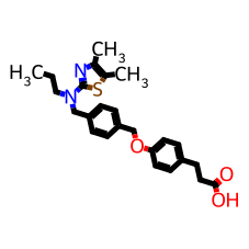 CCCN(Cc1ccc(COc2ccc(CCC(=O)O)cc2)cc1)c1nc(C)c(C)s1